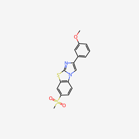 COc1cccc(-c2cn3c(n2)sc2cc(S(C)(=O)=O)ccc23)c1